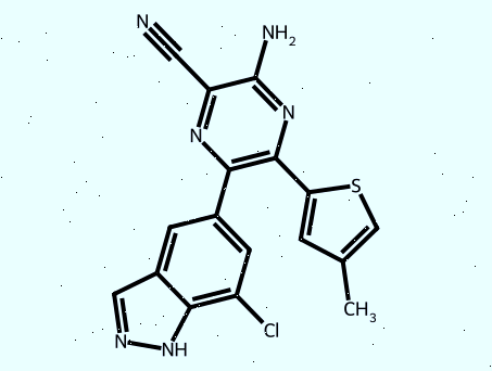 Cc1csc(-c2nc(N)c(C#N)nc2-c2cc(Cl)c3[nH]ncc3c2)c1